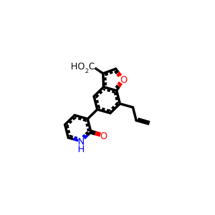 C=CCc1cc(-c2ccc[nH]c2=O)cc2c(C(=O)O)coc12